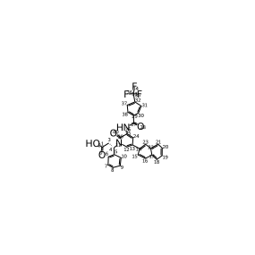 O=C(O)C[C@@H](c1ccccc1)n1cc(-c2ccc3ccccc3c2)cc(NC(=O)c2ccc(C(F)(F)F)cc2)c1=O